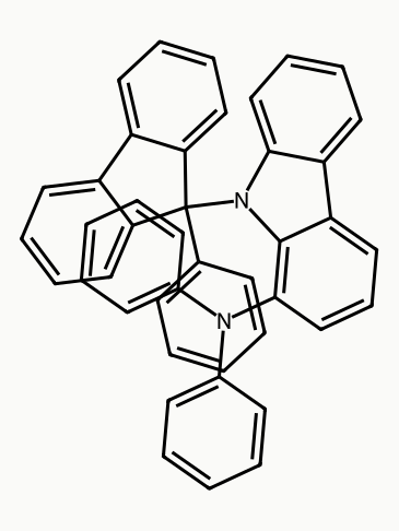 c1ccc(N(c2ccccc2)c2cccc3c4ccccc4n(C4(c5ccccc5)c5ccccc5-c5ccccc54)c23)cc1